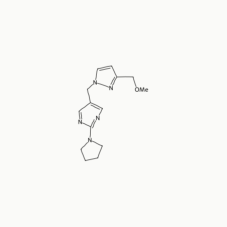 COCc1ccn(Cc2cnc(N3CCCC3)nc2)n1